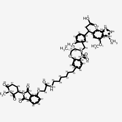 COc1cc(C(CC(=O)O)c2ccc(C)c(CN3C[C@@H](C)Oc4cc(CCCCCCNC(=O)COc5cccc6c5C(=O)N(C5CCC(=O)N(C)C5=O)C6=O)ccc4S3(=O)=O)c2)cc2nnn(C)c12